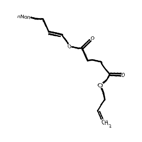 C=CCOC(=O)CCC(=O)OC=CCCCCCCCCCC